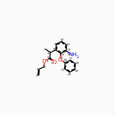 C=CCOC(=O)C(C)c1cccc(N)c1Oc1ccccc1